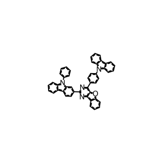 c1ccc(-n2c3ccccc3c3ccc(-c4nc(-c5ccc(-n6c7ccccc7c7ccccc76)cc5)c5oc6ccccc6c5n4)cc32)cc1